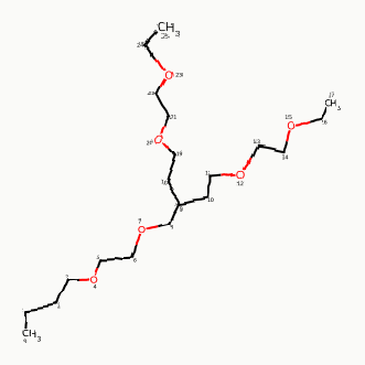 CCCCOCCOC[C](CCOCCOCC)CCOCCOCC